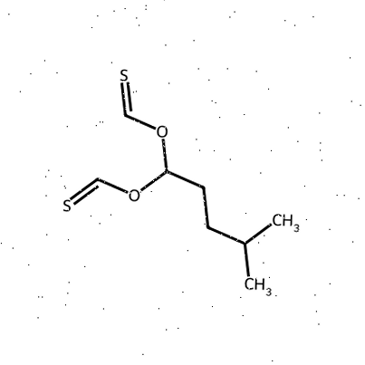 CC(C)CCC(OC=S)OC=S